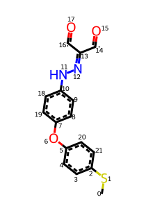 CSc1ccc(Oc2ccc(NN=C([C]=O)[C]=O)cc2)cc1